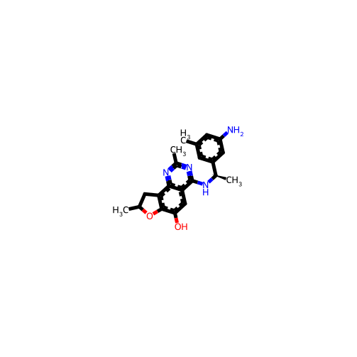 Cc1cc(N)cc([C@@H](C)Nc2nc(C)nc3c4c(c(O)cc23)OC(C)C4)c1